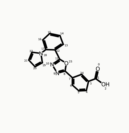 O=C(O)c1cccc(-c2nnc(-c3ccccc3-n3cccc3)o2)c1